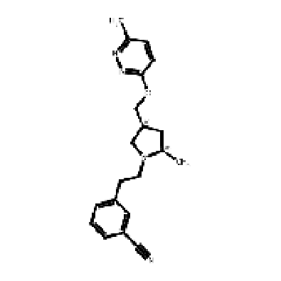 Cc1ccc(OC[C@H]2C[C@@H](C)N(CCc3cccc(C#N)c3)C2)nn1